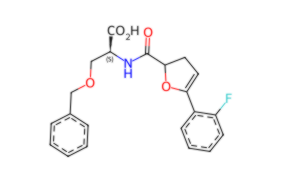 O=C(N[C@@H](COCc1ccccc1)C(=O)O)C1CC=C(c2ccccc2F)O1